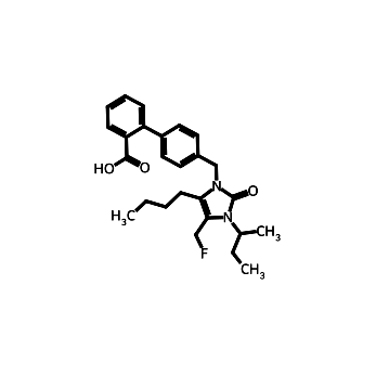 CCCCc1c(CF)n(C(C)CC)c(=O)n1Cc1ccc(-c2ccccc2C(=O)O)cc1